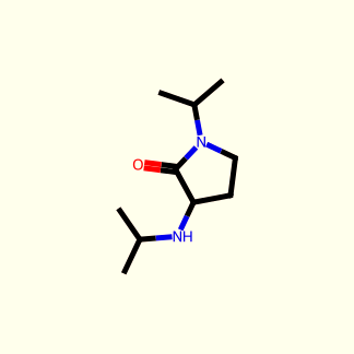 CC(C)NC1CCN(C(C)C)C1=O